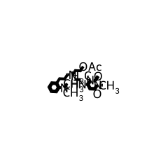 CC(=O)OCCN(CCCc1ccccc1N(C)C)CCNc1cc(=O)n(C)c(=O)n1C